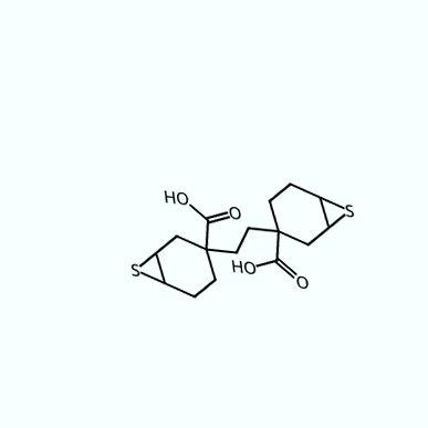 O=C(O)C1(CCC2(C(=O)O)CCC3SC3C2)CCC2SC2C1